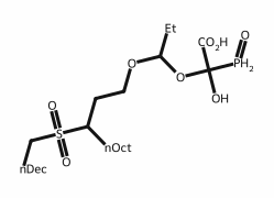 CCCCCCCCCCCS(=O)(=O)C(CCCCCCCC)CCOC(CC)OC(O)([PH2]=O)C(=O)O